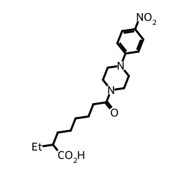 CCC(CCCCCC(=O)N1CCN(c2ccc([N+](=O)[O-])cc2)CC1)C(=O)O